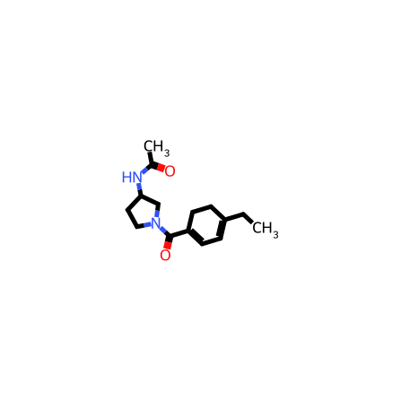 CCC1=CC=C(C(=O)N2CCC(NC(C)=O)C2)CC1